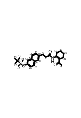 CC(=O)C1=C(NC(=O)CCc2ccc3cc(O[Si](C)(C)C(C)(C)C)ccc3c2)CCCC1